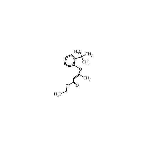 CCOC(=O)C=C(C)Oc1ccccc1C(C)(C)C